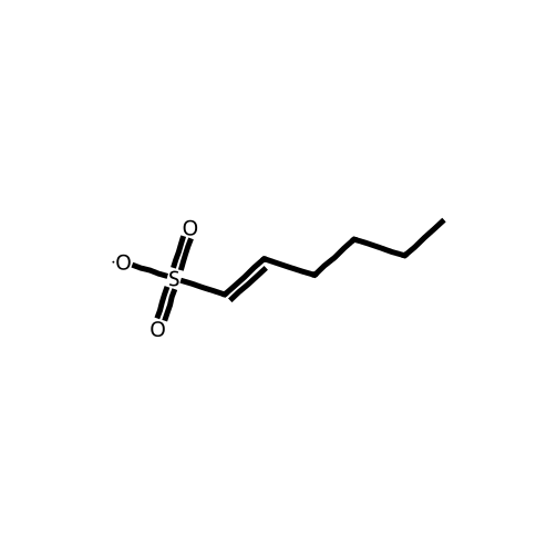 CCCCC=CS([O])(=O)=O